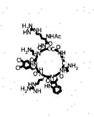 C=C(N)[C@@H]1CCCNC(=O)CC[C@H](NC(=O)[C@H](CCCNC(=N)N)NC(C)=O)C(=O)N[C@@H](CCN)C(=O)N[C@H](Cc2ccc(Cl)c(Cl)c2)C(=O)N[C@@H](CCCNC(=N)N)C(=O)N[C@@H](Cc2c[nH]c3ccccc23)C(=O)N1